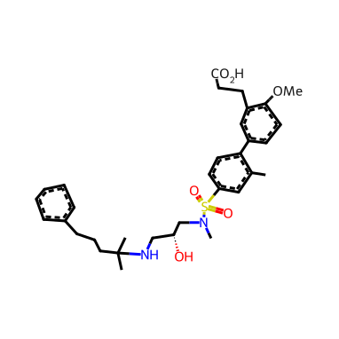 COc1ccc(-c2ccc(S(=O)(=O)N(C)C[C@H](O)CNC(C)(C)CCCc3ccccc3)cc2C)cc1CCC(=O)O